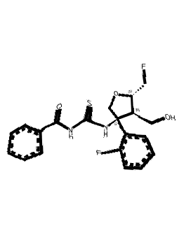 O=C(NC(=S)N[C@@]1(c2ccccc2F)CO[C@H](CF)[C@H]1CO)c1ccccc1